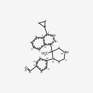 CC1(c2nnc(C3CC3)c3ccccc23)CNCCN1c1ccc(C=O)cc1